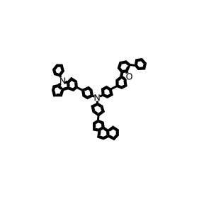 c1ccc(-c2cccc3c2oc2ccc(-c4ccc(N(c5ccc(-c6ccc7ccc8ccccc8c7c6)cc5)c5ccc(-c6ccc7c(c6)c6ccccc6n7-c6ccccc6)cc5)cc4)cc23)cc1